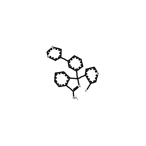 NC1=NC(c2cccc(-c3cncnc3)c2)(c2ccncc2F)c2ccccc21